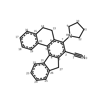 N#Cc1c2c(c3c(c1N1CCCC1)CCc1ccccc1-3)-c1ccccc1C2